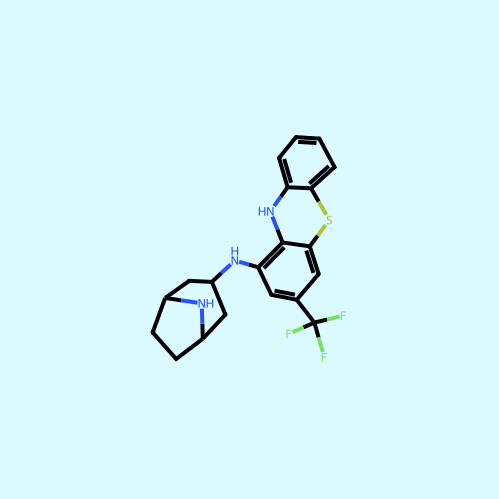 FC(F)(F)c1cc(NC2CC3CCC(C2)N3)c2c(c1)Sc1ccccc1N2